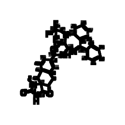 CN1C(=O)NC(=O)C12CCc1cc(C(=O)N[C@@H]3N=C(c4ccccc4)c4ccccc4N(CC(F)(F)F)C3=O)ccc1C2